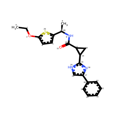 CCOc1ccc([C@@H](C)NC(=O)C2CC2c2nc(-c3ccccc3)c[nH]2)s1